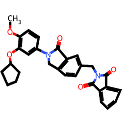 COc1ccc(N2Cc3ccc(CN4C(=O)c5ccccc5C4=O)cc3C2=O)cc1OC1CCCC1